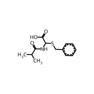 CC(C)C(=O)NC(SCc1ccccc1)C(=O)O